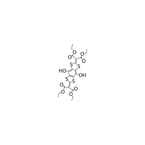 CCOC(=O)C(C(=O)OCC)=C1Sc2c(O)c3c(c(O)c2S1)SC(=C(C(=O)OCC)C(=O)OCC)S3